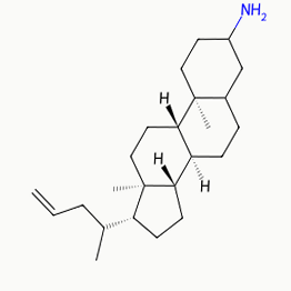 C=CCC(C)[C@H]1CC[C@H]2[C@@H]3CCC4CC(N)CC[C@]4(C)[C@H]3CC[C@]12C